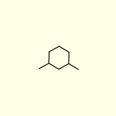 [CH2]C1CCCC(C)C1